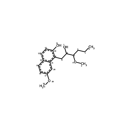 CCCC(OC)C(O)Cc1c(O)cnc2ccc(OC)cc12